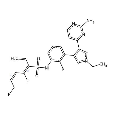 C=C/C(=C(F)\C=C/CF)S(=O)(=O)Nc1cccc(-c2nn(CC)cc2-c2ccnc(N)n2)c1F